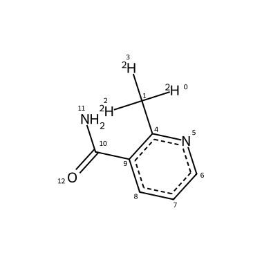 [2H]C([2H])([2H])c1ncccc1C(N)=O